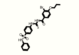 CCCOc1ccc(C(=O)NC(=S)Nc2ccc(S(=O)(=O)Nc3ccccc3)cc2)cc1Br